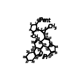 CCCC(C)C1CCC(C)N1C1C(C)C1C1=CN2CC=C(C(C)C)C2C2C1C=CC1C3CCCCC3OC12